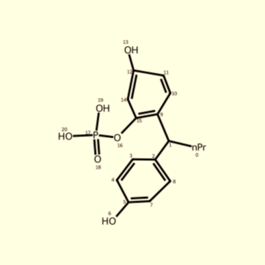 CCCC(c1ccc(O)cc1)c1ccc(O)cc1OP(=O)(O)O